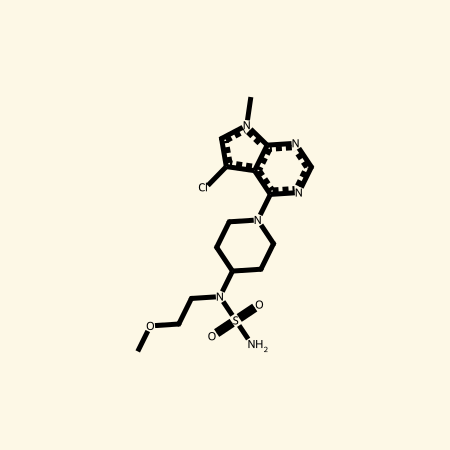 COCCN(C1CCN(c2ncnc3c2c(Cl)cn3C)CC1)S(N)(=O)=O